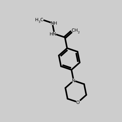 C=C(NNC)c1ccc(N2CCOCC2)cc1